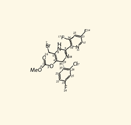 COC(=O)OC1=C(CBr)NC(c2ncc(F)cc2F)=N[C@@H]1c1ccc(F)cc1Cl